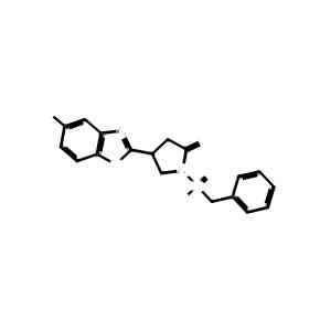 O=C1CC(c2nc3cc(F)ccc3s2)CN1P(=O)(O)Cc1ccccc1